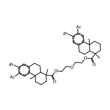 CC(=O)c1cc2c(cc1C(C)C)CCC1C(C)(C(=O)OCCOCCOC(=O)C3(C)CCCC4(C)c5cc(C(C)=O)c(C(C)C)cc5CCC34)CCCC21C